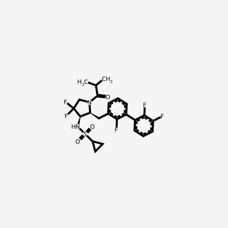 CC(C)C(=O)N1CC(F)(F)[C@H](NS(=O)(=O)C2CC2)[C@@H]1Cc1cccc(-c2cccc(F)c2F)c1F